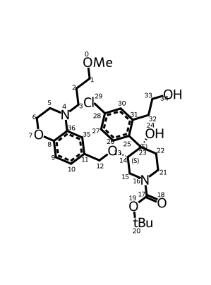 COCCCN1CCOc2ccc(CO[C@H]3CN(C(=O)OC(C)(C)C)CC[C@]3(O)c3ccc(Cl)cc3CCO)cc21